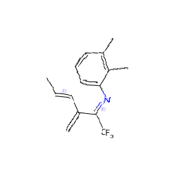 C=C(/C=C/C)/C(=N\c1cccc(C)c1C)C(F)(F)F